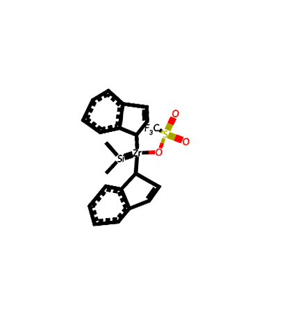 C[Si](C)=[Zr]([O]S(=O)(=O)C(F)(F)F)([CH]1C=Cc2ccccc21)[CH]1C=Cc2ccccc21